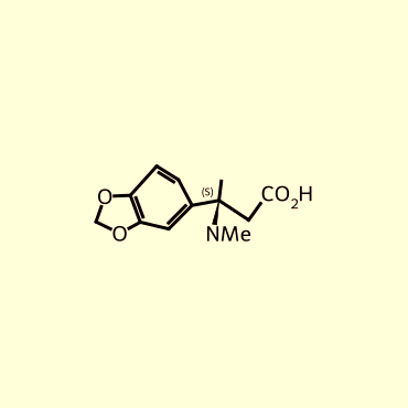 CN[C@@](C)(CC(=O)O)c1ccc2c(c1)OCO2